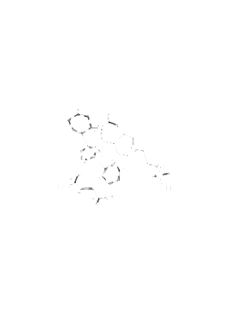 CS(=O)(=O)NCCN1CCC(CN(C(=O)O)c2ccccc2-c2nc(-c3ccccc3)no2)CC1.O=C(O)C=CC(=O)O